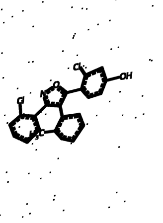 Cc1ccccc1-c1c(-c2ccccc2Cl)noc1-c1ccc(O)cc1Cl